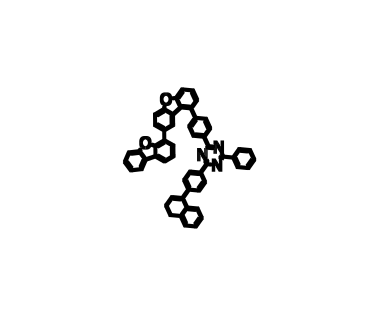 C1=C(c2ccc(-c3nc(-c4ccccc4)nc(-c4ccc(-c5cccc6oc7ccc(-c8cccc9c8oc8ccccc89)cc7c56)cc4)n3)cc2)c2ccccc2CC1